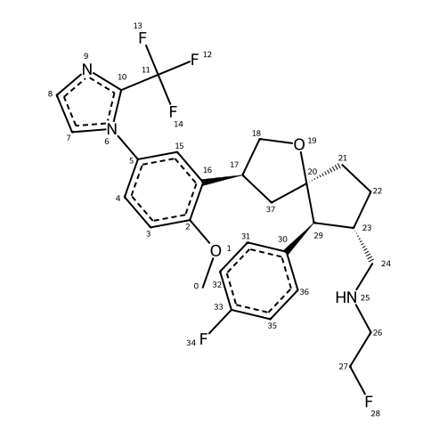 COc1ccc(-n2ccnc2C(F)(F)F)cc1[C@H]1CO[C@]2(CC[C@H](CNCCF)[C@H]2c2ccc(F)cc2)C1